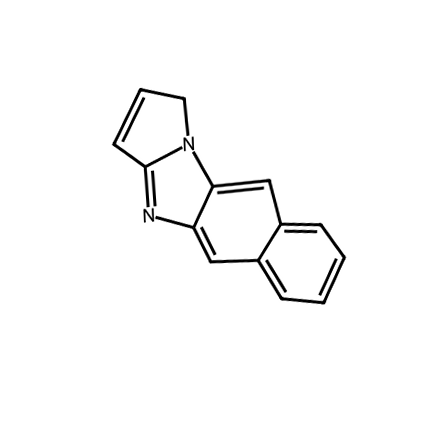 C1=Cc2nc3cc4ccccc4cc3n2C1